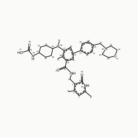 Cc1cc(C)c(CNC(=O)c2cc(-c3ccc(CN4CCOCC4)cc3)cc(N(C)C3CCC(NC(=O)O)CC3)c2C)c(=O)[nH]1